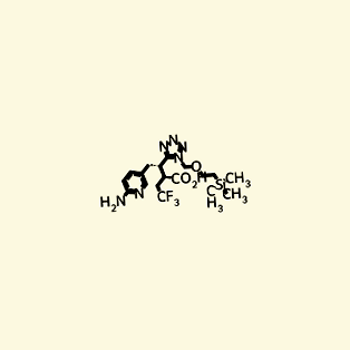 C[Si](C)(C)CCOCn1nnnc1[C@@H](Cc1ccc(N)nc1)[C@H](CC(F)(F)F)C(=O)O